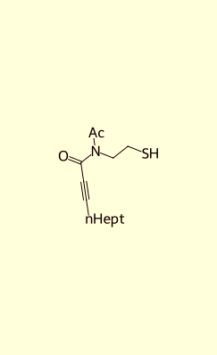 CCCCCCCC#CC(=O)N(CCS)C(C)=O